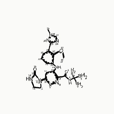 BC(B)(B)NC(=O)c1nnc(N2CCNC2=O)cc1Nc1cccc(-c2ncn(C)n2)c1OC